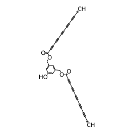 C#CC#CC#CC#CC#CC#CC(=O)OCc1cc(O)cc(COC(=O)C#CC#CC#CC#CC#CC#C)c1